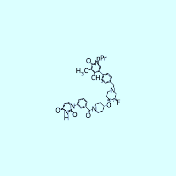 CCCn1cc(-c2ccc(CN3CC[C@@H](OC4CCN(C(=O)c5cccc(-n6ccc(=O)[nH]c6=O)c5)CC4)[C@H](F)C3)cc2)c(C)c(C)c1=O